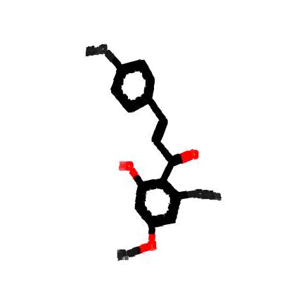 COc1ccc(/C=C/C(=O)c2c(O)cc(OC(C)C)cc2OC)cc1